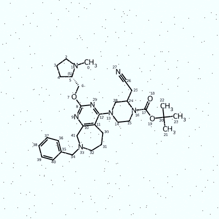 CN1CCC[C@H]1COc1nc2c(c(N3CCN(C(=O)OC(C)(C)C)C(CC#N)C3)n1)CCCN(Cc1ccccc1)C2